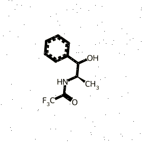 C[C@@H](NC(=O)C(F)(F)F)C(O)c1ccccc1